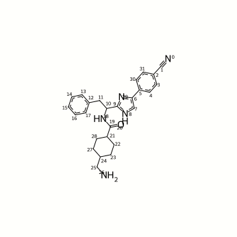 N#Cc1ccc(-c2c[nH]c(C(Cc3ccccc3)NC(=O)C3CCC(CN)CC3)n2)cc1